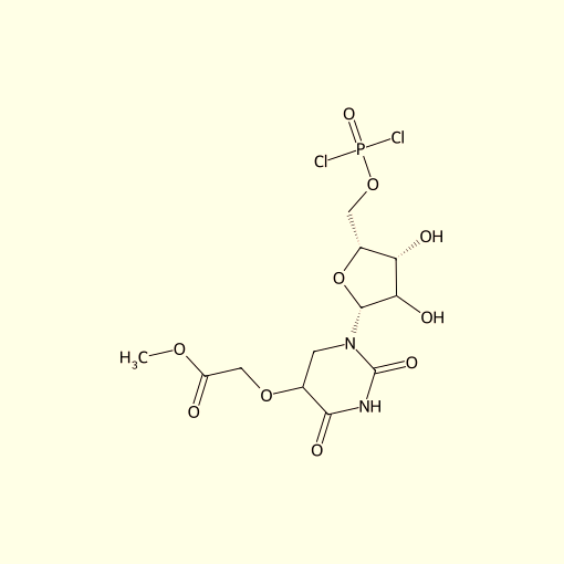 COC(=O)COC1CN([C@@H]2O[C@H](COP(=O)(Cl)Cl)[C@H](O)C2O)C(=O)NC1=O